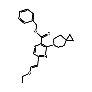 CCOC=Cc1cnc(C(=O)OCc2ccccc2)c(N2CCC3(CC2)CC3)n1